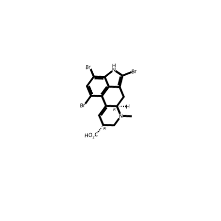 CN1C[C@H](C(=O)O)C=C2c3c(Br)cc(Br)c4[nH]c(Br)c(c34)C[C@H]21